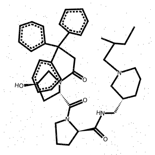 CCC(C)CN1CCC[C@H](CNC(=O)[C@H]2CCCN2C(=O)[C@@H]2C[C@@H](O)CN2C(=O)CC(c2ccccc2)(c2ccccc2)c2ccccc2)C1